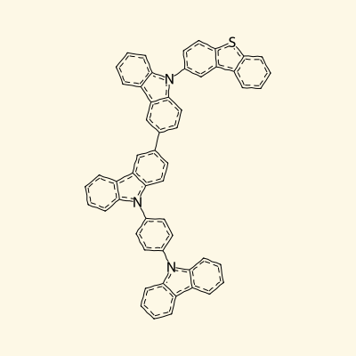 c1ccc2c(c1)sc1ccc(-n3c4ccccc4c4cc(-c5ccc6c(c5)c5ccccc5n6-c5ccc(-n6c7ccccc7c7ccccc76)cc5)ccc43)cc12